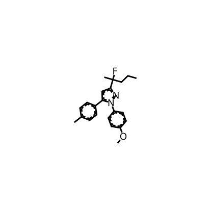 CCCC(C)(F)c1cc(-c2ccc(C)cc2)n(-c2ccc(OC)cc2)n1